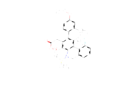 COc1ccc(-c2c(C)c3c(c(C)c2CC(=O)O)N(SC)Cc2cccc(F)c2-3)c(C)c1